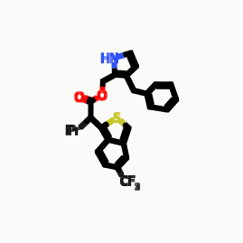 CC(C)C(C(=O)OCc1[nH]ccc1Cc1ccccc1)c1scc2cc(C(F)(F)F)ccc12